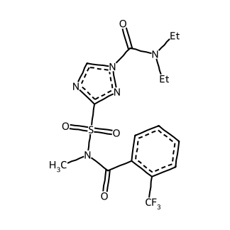 CCN(CC)C(=O)n1cnc(S(=O)(=O)N(C)C(=O)c2ccccc2C(F)(F)F)n1